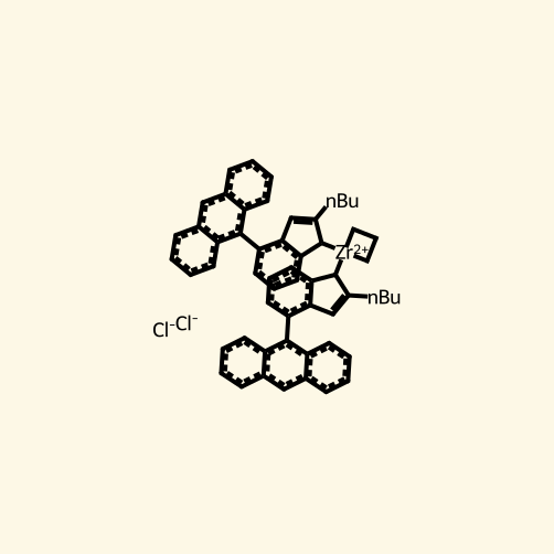 CCCCC1=Cc2c(-c3c4ccccc4cc4ccccc34)cccc2[CH]1[Zr+2]1([CH]2C(CCCC)=Cc3c(-c4c5ccccc5cc5ccccc45)cccc32)[CH2]C[CH2]1.[Cl-].[Cl-]